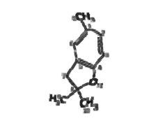 Cc1ccc2c(c1)CC(C)(C)O2